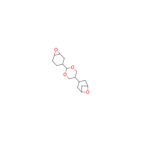 C1C2CC(C3COC(C4CCC5OC5C4)OC3)CC1O2